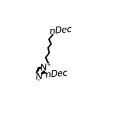 CCCCCCCCCCCCCCCCC[n+]1ccn(C)c1CCCCCCCCCC